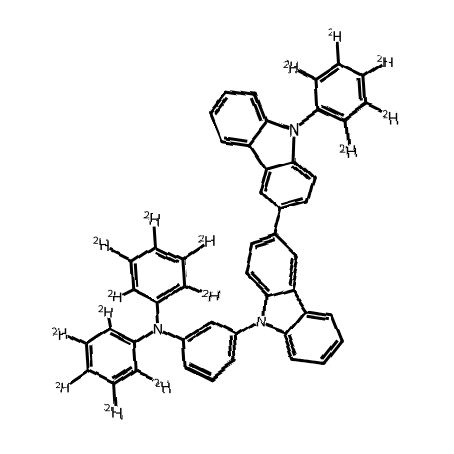 [2H]c1c([2H])c([2H])c(N(c2cccc(-n3c4ccccc4c4cc(-c5ccc6c(c5)c5ccccc5n6-c5c([2H])c([2H])c([2H])c([2H])c5[2H])ccc43)c2)c2c([2H])c([2H])c([2H])c([2H])c2[2H])c([2H])c1[2H]